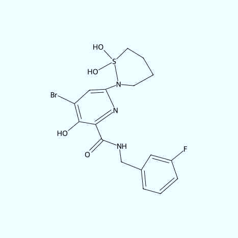 O=C(NCc1cccc(F)c1)c1nc(N2CCCCS2(O)O)cc(Br)c1O